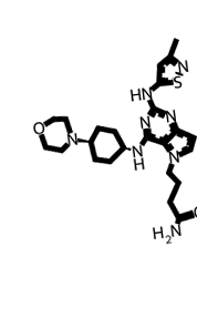 Cc1cc(Nc2nc(N[C@H]3CC[C@H](N4CCOCC4)CC3)c3c(ccn3CCCC(N)=O)n2)sn1